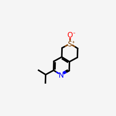 CC(C)c1cc2c(cn1)CC[S+]([O-])C2